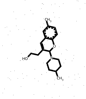 Cc1ccc2c(c1)C=C(CCO)C(N1CCC(C)CC1)O2